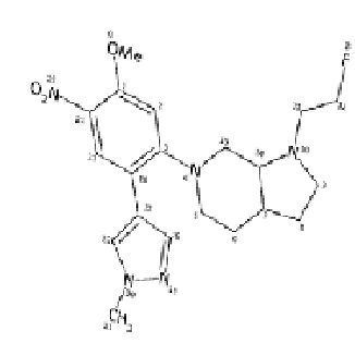 COc1cc(N2CCC3CCN(CCF)C3C2)c(-c2cnn(C)c2)cc1[N+](=O)[O-]